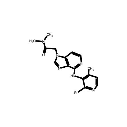 Cc1ccnc(C(C)C)c1Nc1nccc2c1ncn2CC(=O)N(C)C